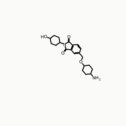 NC1CCC(OCc2ccc3c(c2)C(=O)N(C2CCC(O)CC2)C3=O)CC1